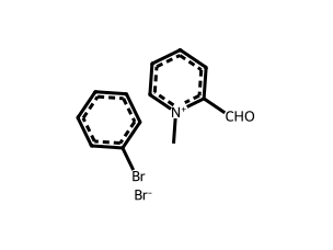 Brc1ccccc1.C[n+]1ccccc1C=O.[Br-]